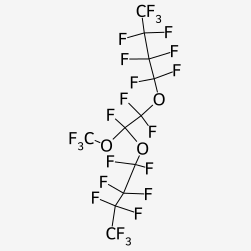 FC(F)(F)OC(F)(OC(F)(F)C(F)(F)C(F)(F)C(F)(F)F)C(F)(F)OC(F)(F)C(F)(F)C(F)(F)C(F)(F)F